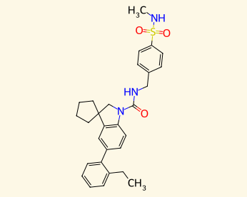 CCc1ccccc1-c1ccc2c(c1)C1(CCCC1)CN2C(=O)NCc1ccc(S(=O)(=O)NC)cc1